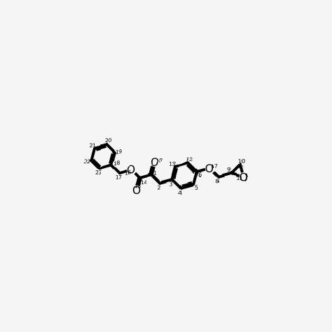 O=C(Cc1ccc(OCC2CO2)cc1)C(=O)OCc1ccccc1